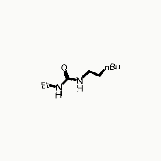 CCCCCCNC(=O)NCC